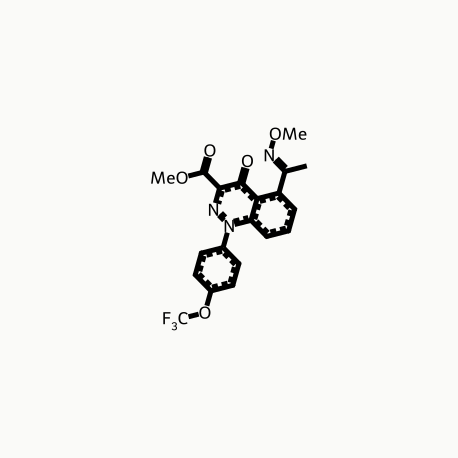 CON=C(C)c1cccc2c1c(=O)c(C(=O)OC)nn2-c1ccc(OC(F)(F)F)cc1